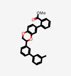 COC(=O)c1ccccc1-c1ccc2c(c1)OC(c1cccc(-c3cccc(C)c3)c1)CO2